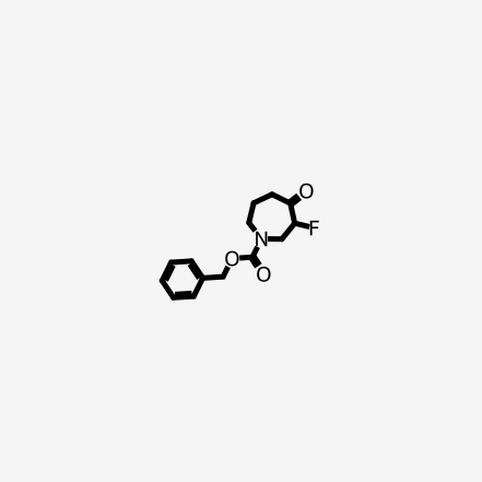 O=C1CCCN(C(=O)OCc2ccccc2)CC1F